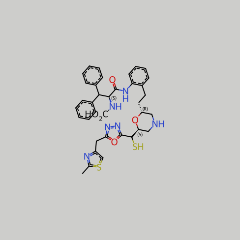 Cc1nc(Cc2nnc(C(S)[C@@H]3CNC[C@@H](CCc4ccccc4NC(=O)[C@@H](NC(=O)O)C(c4ccccc4)c4ccccc4)O3)o2)cs1